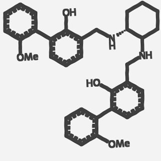 COc1ccccc1-c1cccc(CNC2CCCC[C@H]2NCc2cccc(-c3ccccc3OC)c2O)c1O